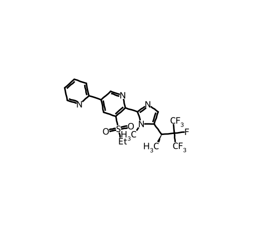 CCS(=O)(=O)c1cc(-c2ccccn2)cnc1-c1ncc([C@H](C)C(F)(C(F)(F)F)C(F)(F)F)n1C